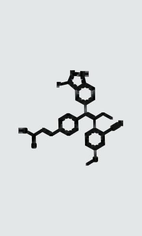 CC/C(=C(/c1ccc(/C=C/C(=O)O)cc1)c1ccc2[nH]nc(F)c2c1)c1ccc(OC)cc1C#N